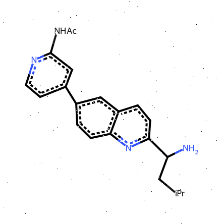 CC(=O)Nc1cc(-c2ccc3nc(C(N)CC(C)C)ccc3c2)ccn1